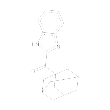 O=C(c1nc2ccccc2[nH]1)C12CC3CC(CC(C3)C1)C2